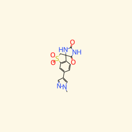 Cn1cc(-c2ccc3c(c2)S(=O)(=O)CC32NC(=O)NC2=O)cn1